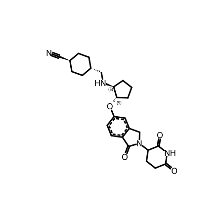 N#C[C@H]1CC[C@H](CN[C@H]2CCC[C@@H]2Oc2ccc3c(c2)CN(C2CCC(=O)NC2=O)C3=O)CC1